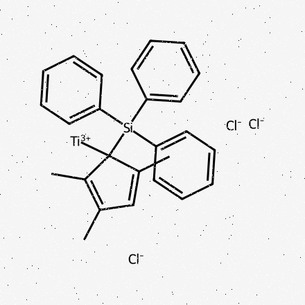 CC1=CC(C)=C(C)[C]1([Ti+3])[Si](c1ccccc1)(c1ccccc1)c1ccccc1.[Cl-].[Cl-].[Cl-]